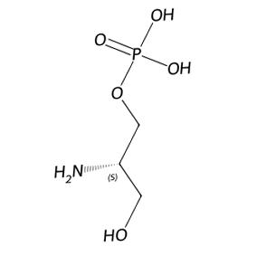 N[C@@H](CO)COP(=O)(O)O